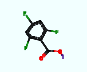 O=C(OI)c1c(F)cc(F)cc1F